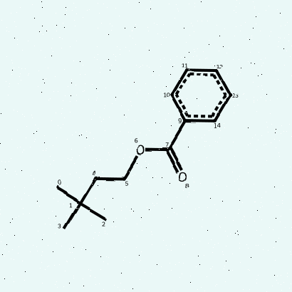 CC(C)(C)CCOC(=O)c1ccccc1